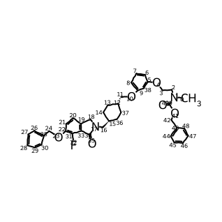 CN(CCOc1cccc(OC[C@H]2CC[C@H](CN3Cc4ccc(OCc5ccccc5)c(F)c4C3=O)CC2)c1)C(=O)OCc1ccccc1